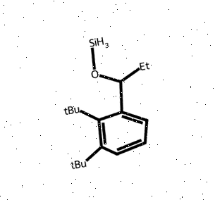 CCC(O[SiH3])c1cccc(C(C)(C)C)c1C(C)(C)C